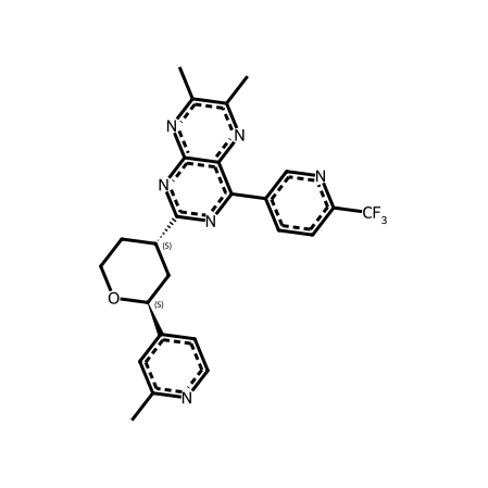 Cc1cc([C@@H]2C[C@@H](c3nc(-c4ccc(C(F)(F)F)nc4)c4nc(C)c(C)nc4n3)CCO2)ccn1